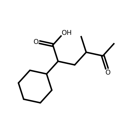 CC(=O)C(C)CC(C(=O)O)C1CCCCC1